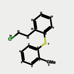 COc1ccccc1Sc1ccccc1CCCl